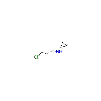 ClCCCNC1CC1